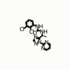 C[C@H](NC(=O)Nc1cccc(Cl)c1Cl)c1ncnn1-c1ncccn1